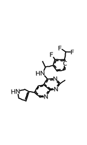 Cc1nc(NC(C)c2cccc(C(F)F)c2F)c2cc(C3=CCNC3)cnc2n1